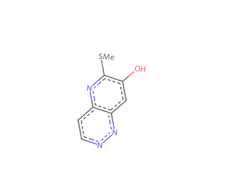 CSc1nc2ccnnc2cc1O